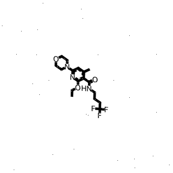 CCOc1nc(N2CCOCC2)cc(C)c1C(=O)NCCCC(F)(F)F